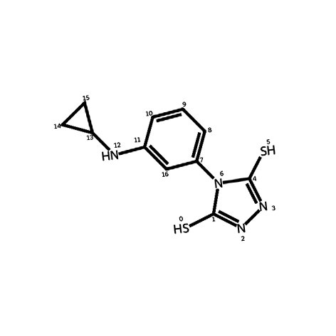 Sc1nnc(S)n1-c1cccc(NC2CC2)c1